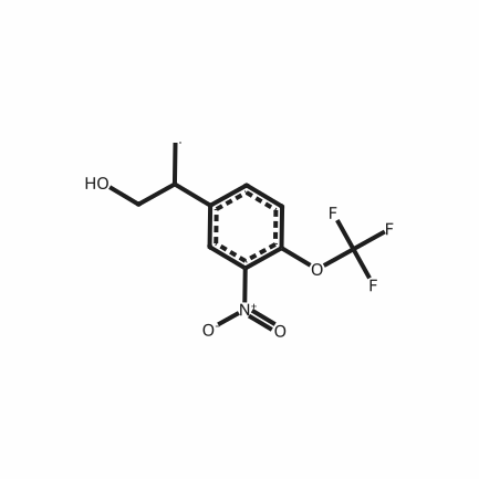 [CH2]C(CO)c1ccc(OC(F)(F)F)c([N+](=O)[O-])c1